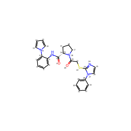 O=C(Nc1ccccc1-n1cccc1)[C@@H]1CCCN1C(=O)CSc1nccn1-c1ccccc1